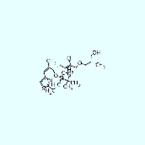 CC(=Cc1csc(C)n1)[C@H](CC=C(Cl)COC[C@@H](C)CO)O[Si](C)(C)C(C)(C)C